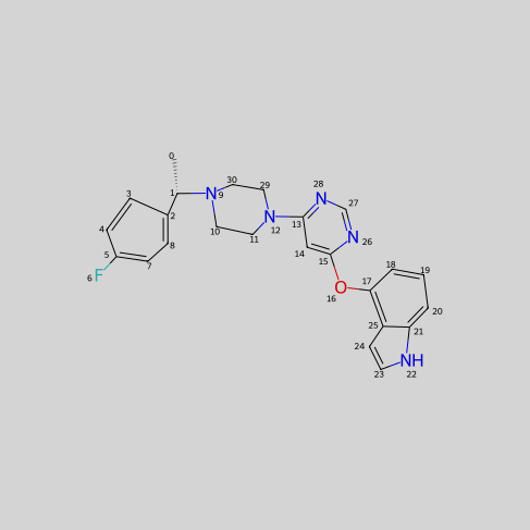 C[C@@H](c1ccc(F)cc1)N1CCN(c2cc(Oc3cccc4[nH]ccc34)ncn2)CC1